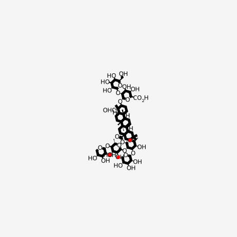 C[C@@H]1O[C@@H](O[C@H]2[C@@H](O)[C@@H](C)O[C@@H](OC(=O)[C@]34CCC(C)(C)C[C@H]3C3=CC[C@@H]5[C@@]6(C)CC[C@H](O[C@@H]7O[C@H](C(=O)O)[C@@H](O)[C@H](O)[C@H]7O[C@@H]7O[C@H](CO)[C@H](O)[C@H](O)[C@H]7O)[C@@](C)(C=O)[C@@H]6CC[C@@]5(C)[C@]3(C)CC4)[C@@H]2O[C@@H]2O[C@@H](C)[C@H](O[C@@H]3OC[C@@H](O)[C@H](O)[C@H]3O)[C@@H](O)[C@H]2O)[C@H](O)[C@H](O)[C@H]1O